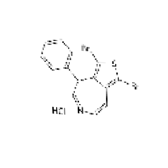 Brc1sc(Br)c2c1C=CN=CC2c1ccccc1.Cl